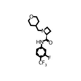 O=C(Nc1ccc(C(F)(F)F)c(F)c1)[C@@H]1CCN1CC1CCOCC1